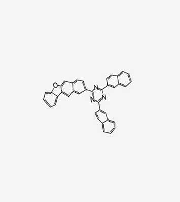 c1ccc2cc(-c3nc(-c4ccc5ccccc5c4)nc(-c4ccc5cc6oc7ccccc7c6cc5c4)n3)ccc2c1